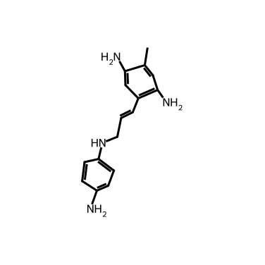 Cc1cc(N)c(C=CCNc2ccc(N)cc2)cc1N